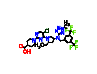 CC[C@@H]1C[C@H](N(Cc2cc(C(F)(F)F)cc(C(F)(F)F)c2)c2nnn(C)n2)CN1c1nc(N2CCC(C(=O)O)CC2)ncc1Cl